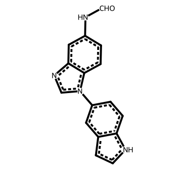 O=CNc1ccc2c(c1)ncn2-c1ccc2[nH]ccc2c1